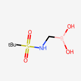 CC(C)(C)S(=O)(=O)NCB(O)O